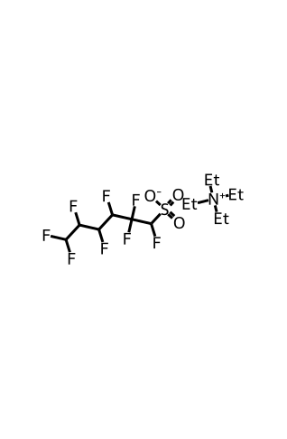 CC[N+](CC)(CC)CC.O=S(=O)([O-])C(F)C(F)(F)C(F)C(F)C(F)C(F)F